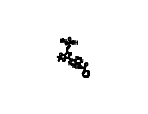 CCC(C)OP(=O)(O)C=CC1OC(n2nnc3c(NC(=O)c4ccccc4)ncnc32)C2OC(C)(C)OC12